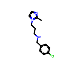 Cc1nccn1CCCNCc1ccc(Cl)cc1